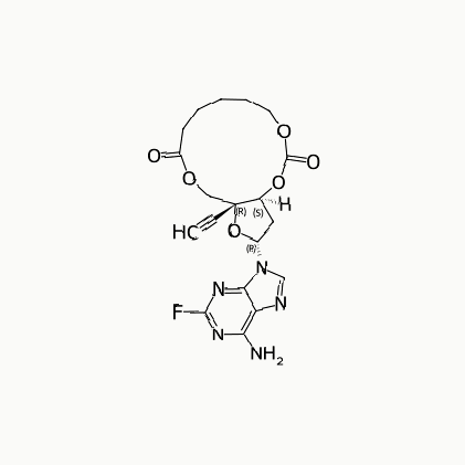 C#C[C@@]12COC(=O)CCCCCOC(=O)O[C@H]1C[C@H](n1cnc3c(N)nc(F)nc31)O2